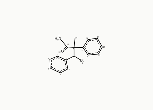 CCC(c1ccccc1)C(C)(C(N)=O)c1ccccc1